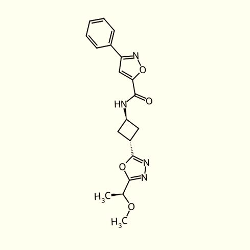 CO[C@@H](C)c1nnc([C@H]2C[C@H](NC(=O)c3cc(-c4ccccc4)no3)C2)o1